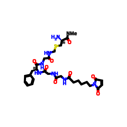 CNC(=O)[C@@H](N)CSCNC(=O)CNC(=O)[C@H](Cc1ccccc1)NC(=O)CNC(=O)CNC(=O)CCCCCN1C(=O)C=CC1=O